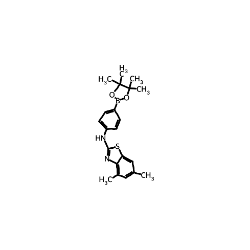 Cc1cc(C)c2nc(Nc3ccc(B4OC(C)(C)C(C)(C)O4)cc3)sc2c1